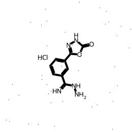 Cl.N=C(NN)c1cccc(-c2n[nH]c(=O)o2)c1